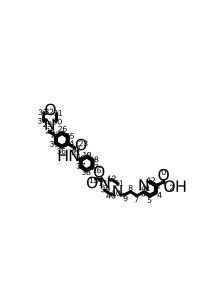 O=C(O)c1ccc(CCCN2CCN(C(=O)Oc3ccc(NC(=O)c4ccc(CN5CCOCC5)cc4)cc3)CC2)nc1